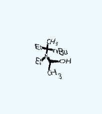 CCCCC(C)(CC)N(CC)C(C)O